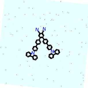 N#Cc1cc(-c2ccc(-c3ccc(-n4c5ccccc5c5ccccc54)cc3)cc2)c(-c2ccc(-c3ccc(-n4c5ccccc5c5ccccc54)cc3)cc2)cc1C#N